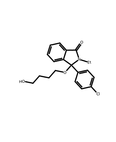 CCN1C(=O)c2ccccc2C1(OCCCCO)c1ccc(Cl)cc1